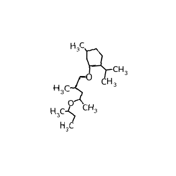 CCC(C)OC(C)CC(C)COC1CC(C)CCC1C(C)C